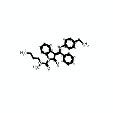 CCCCN(C)C(=O)N1C(=O)C(=C(Nc2ccc(CN)cc2)c2ccccc2)c2ccccc21